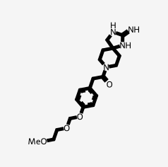 COCCOCOc1ccc(CC(=O)N2CCC3(CC2)CNC(=N)N3)cc1